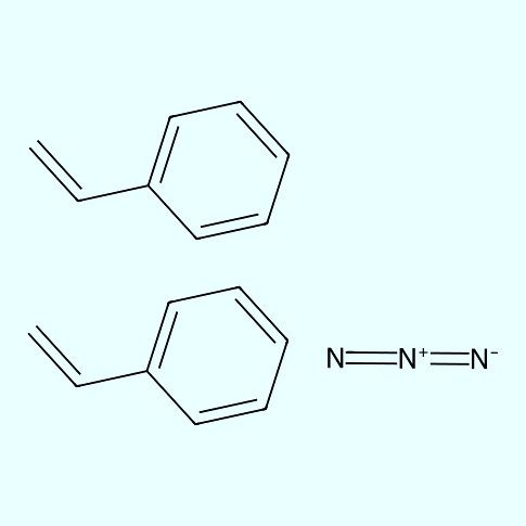 C=Cc1ccccc1.C=Cc1ccccc1.[N-]=[N+]=[N-]